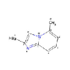 Cc1cccc2n[c]([RaH])cn12